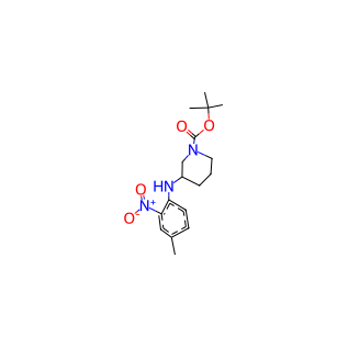 Cc1ccc(NC2CCCN(C(=O)OC(C)(C)C)C2)c([N+](=O)[O-])c1